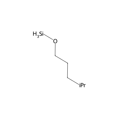 CC(C)CCCO[SiH3]